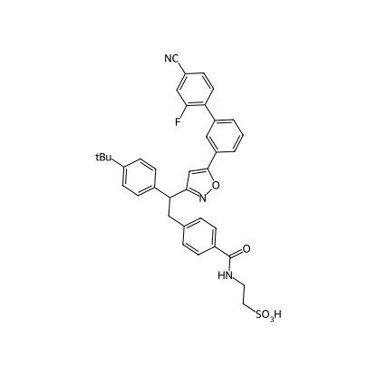 CC(C)(C)c1ccc(C(Cc2ccc(C(=O)NCCS(=O)(=O)O)cc2)c2cc(-c3cccc(-c4ccc(C#N)cc4F)c3)on2)cc1